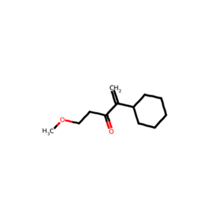 C=C(C(=O)CCOC)C1CCCCC1